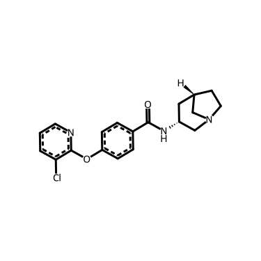 O=C(N[C@@H]1C[C@@H]2CCN(C2)C1)c1ccc(Oc2ncccc2Cl)cc1